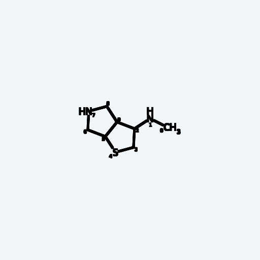 CNC1CSC2CNCC12